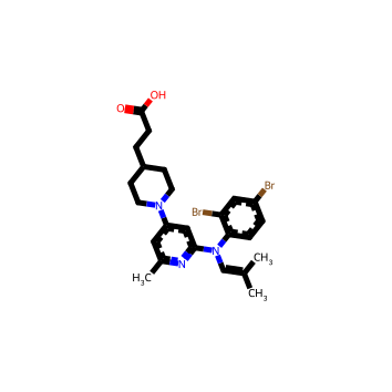 CC(C)=CN(c1cc(N2CCC(CCC(=O)O)CC2)cc(C)n1)c1ccc(Br)cc1Br